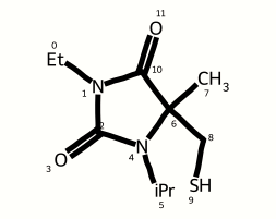 CCN1C(=O)N(C(C)C)C(C)(CS)C1=O